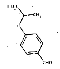 CC(Oc1ccc(C=O)cc1)C(=O)O